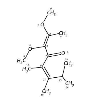 CO/C(C)=C(\OC)C(=O)/C(C)=C(/C)C(C)C